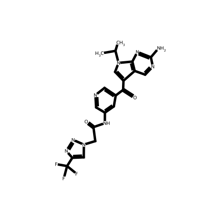 CC(C)n1cc(C(=O)c2cncc(NC(=O)Cn3cc(C(F)(F)F)nn3)c2)c2cnc(N)nc21